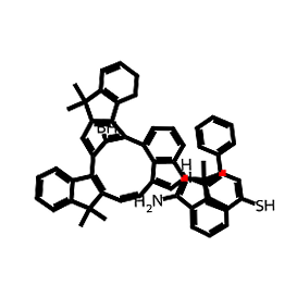 Bc1c2cc3c(c1c1cccc(C4=C(N)c5ccccc5C4(C)C)c1/c(=C\Nc1ccc(S)cc1-c1ccccc1)ccc1c2-c2ccccc2C1(C)C)C1=C(C=CCC1)C3(C)C